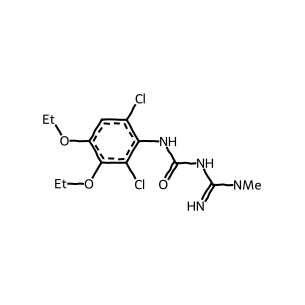 CCOc1cc(Cl)c(NC(=O)NC(=N)NC)c(Cl)c1OCC